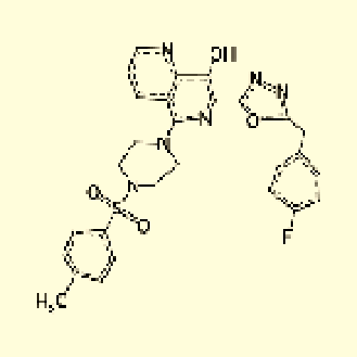 Cc1ccc(S(=O)(=O)N2CCN(c3nc(-c4nnc(Cc5ccc(F)cc5)o4)c(O)c4ncccc34)CC2)cc1